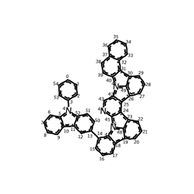 c1ccc(-n2c3ccccc3c3cc(-c4cccc5c6cccc7c8c9c%10cccc%11c%12c%13ccccc%13ccc%12n(c9cnc8n(c45)c67)c%11%10)ccc32)cc1